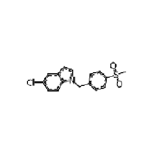 CS(=O)(=O)c1ccc(Cn2ccc3cc(Cl)ccc32)cc1